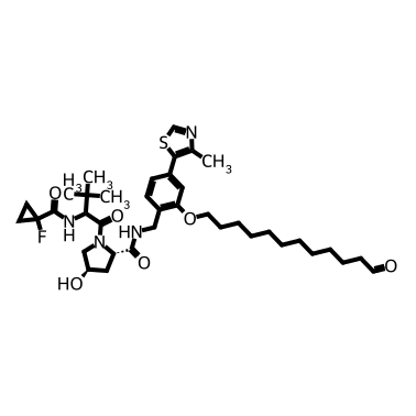 Cc1ncsc1-c1ccc(CNC(=O)[C@@H]2C[C@@H](O)CN2C(=O)C(NC(=O)C2(F)CC2)C(C)(C)C)c(OCCCCCCCCCCCC=O)c1